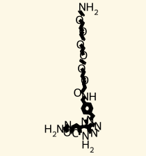 NCCOCCOCCOCCOCCOCCOCCC(=O)NCc1ccc(Cn2nc(-c3ccc4oc(N)nc4c3)c3c(N)ncnc32)cc1